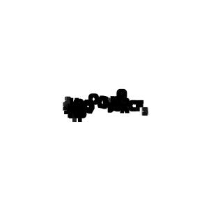 [2H]C1([2H])Oc2ccc(OC3CCN(c4nn5c(=O)cc(C(F)(F)F)nc5cc4C)CC3)cc2OC1([2H])[2H]